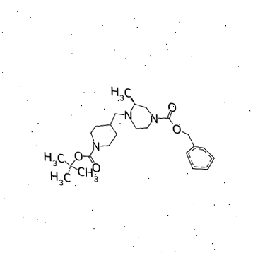 C[C@H]1CN(C(=O)OCc2ccccc2)CCN1CC1CCN(C(=O)OC(C)(C)C)CC1